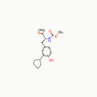 COC(=O)[C@H](Cc1ccc(O)c(C2CCCC2)c1)NC(=O)OC(C)(C)C